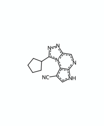 N#Cc1c[nH]c2ncc3nnc(C4CCCC4)n3c12